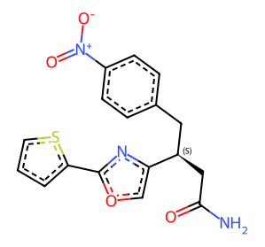 NC(=O)C[C@H](Cc1ccc([N+](=O)[O-])cc1)c1coc(-c2cccs2)n1